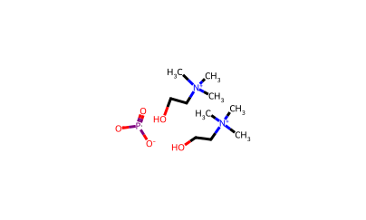 C[N+](C)(C)CCO.C[N+](C)(C)CCO.O=[P]([O-])[O-]